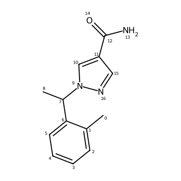 Cc1ccccc1C(C)n1cc(C(N)=O)cn1